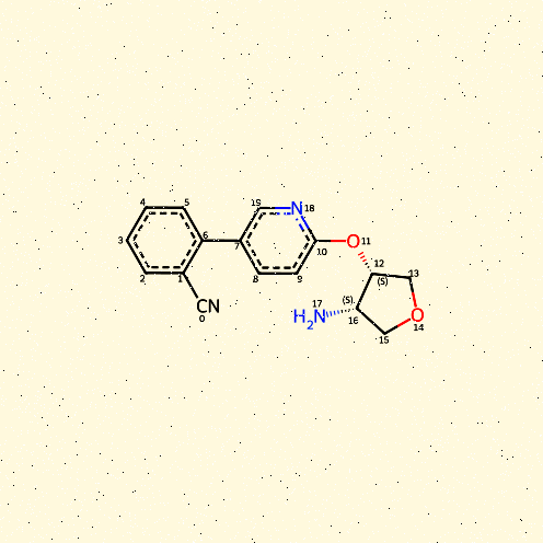 N#Cc1ccccc1-c1ccc(O[C@@H]2COC[C@@H]2N)nc1